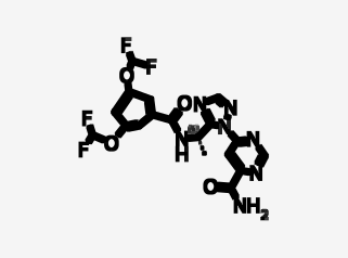 C[C@H](NC(=O)c1cc(OC(F)F)cc(OC(F)F)c1)c1ncnn1-c1cc(C(N)=O)ncn1